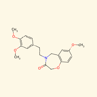 COc1ccc2c(c1)CN(CCc1ccc(OC)c(OC)c1)C(=O)CO2